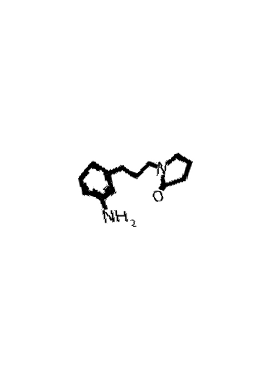 Nc1cccc(CCCN2CCCC2=O)c1